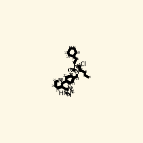 CCCc1c(Cl)n(CCC2CCCCC2)c(=O)n1Cc1ccc(-c2ncccc2-c2nnn[nH]2)cc1